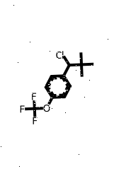 CC(C)(C)C(Cl)c1ccc(OC(F)(F)F)cc1